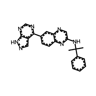 CC(C)(Nc1cnc2cc(-c3ncnc4[nH]ncc34)ccc2n1)c1ccccc1